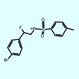 Cc1ccc(S(=O)(=O)NCC(F)c2ccc(Br)cc2)cc1